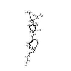 C/C=C(\C=C/NCCCCCC)/C=C/c1ccc(N(CCO)CCO)cc1